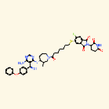 CC1CN(C(=O)CCCCCCSc2cc3c(cc2F)C(=O)N(C2CCC(=O)NC2=O)C3=O)CCC[C@H]1Nc1ncnc(N)c1C(=N)c1ccc(Oc2ccccc2)cc1